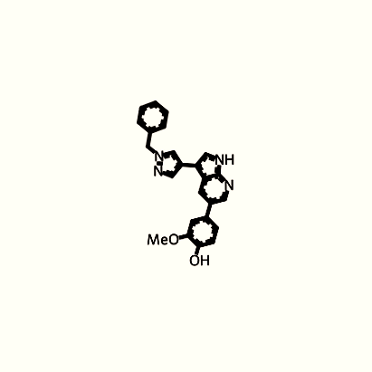 COc1cc(-c2cnc3[nH]cc(-c4cnn(Cc5ccccc5)c4)c3c2)ccc1O